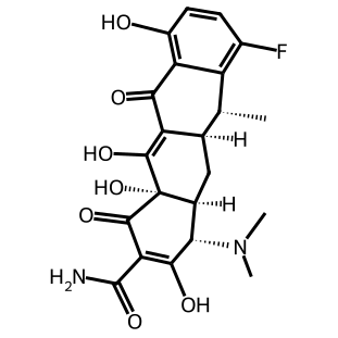 C[C@H]1c2c(F)ccc(O)c2C(=O)C2=C(O)[C@]3(O)C(=O)C(C(N)=O)=C(O)[C@@H](N(C)C)[C@@H]3C[C@@H]21